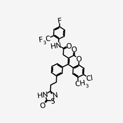 Cc1cc2c(-c3cccc(CCc4nsc(=O)[nH]4)c3)c(CC(=O)Nc3ccc(F)cc3C(F)(F)F)c(=O)oc2cc1Cl